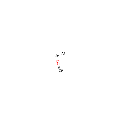 [Al].[Li].[O]=[Co]